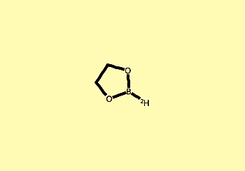 [2H]B1OCCO1